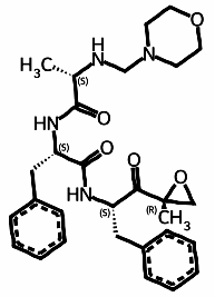 C[C@H](NCN1CCOCC1)C(=O)N[C@@H](Cc1ccccc1)C(=O)N[C@@H](Cc1ccccc1)C(=O)[C@@]1(C)CO1